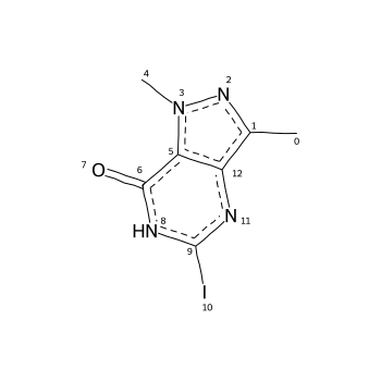 Cc1nn(C)c2c(=O)[nH]c(I)nc12